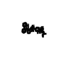 CCC(C)CNC(=S)N1CCC(c2nc(C(=O)Nc3ccccc3-c3ccccc3)cs2)CC1